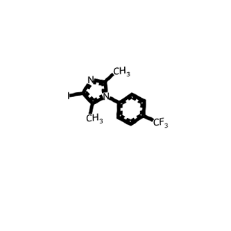 Cc1nc(I)c(C)n1-c1ccc(C(F)(F)F)cc1